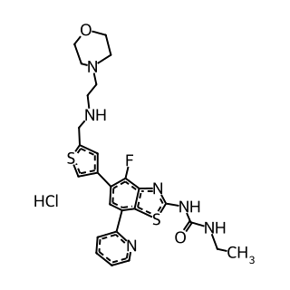 CCNC(=O)Nc1nc2c(F)c(-c3csc(CNCCN4CCOCC4)c3)cc(-c3ccccn3)c2s1.Cl